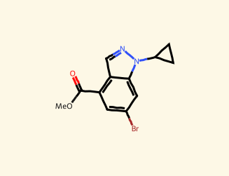 COC(=O)c1cc(Br)cc2c1cnn2C1CC1